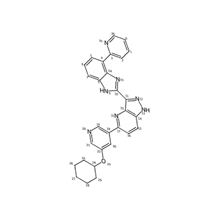 c1ccc(-c2cccc3[nH]c(-c4n[nH]c5ccc(-c6cncc(OC7CCCCC7)c6)nc45)nc23)nc1